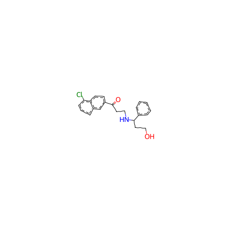 O=C(CCNC(CCO)c1ccccc1)c1ccc2c(Cl)cccc2c1